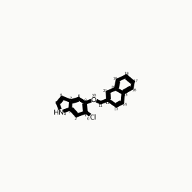 Clc1cc2[nH]ccc2cc1OCc1ccc2ccccc2c1